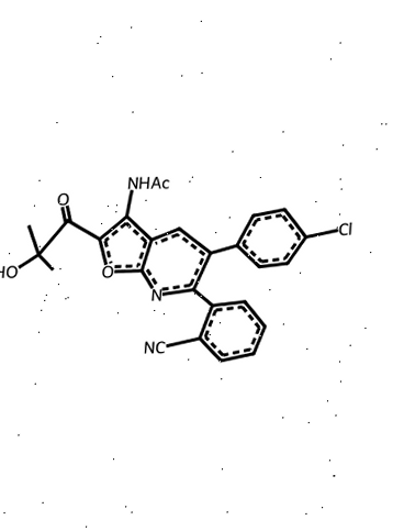 CC(=O)Nc1c(C(=O)C(C)(C)O)oc2nc(-c3ccccc3C#N)c(-c3ccc(Cl)cc3)cc12